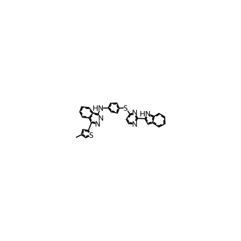 Cc1csc(-c2nnc(Nc3ccc(Sc4ccnc(-c5cc6ccccc6[nH]5)n4)cc3)c3ccccc23)c1